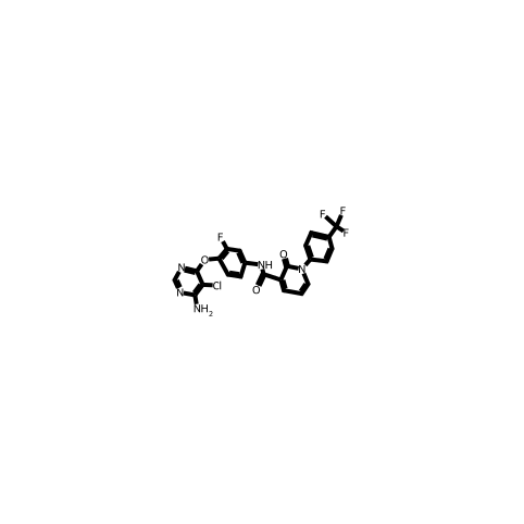 Nc1ncnc(Oc2ccc(NC(=O)c3cccn(-c4ccc(C(F)(F)F)cc4)c3=O)cc2F)c1Cl